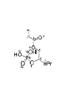 C=CC(=O)OCC(CCC)OP(=O)(O)O